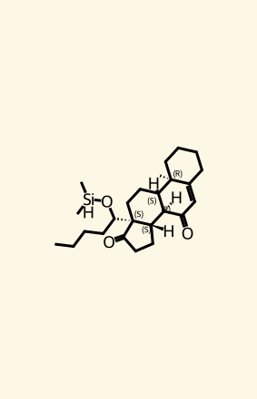 CCCCC(O[SiH](C)C)[C@]12CC[C@H]3[C@@H](C(=O)C=C4CCCC[C@@]43C)[C@@H]1CCC2=O